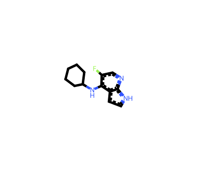 Fc1cnc2[nH]ccc2c1NC1CCCCC1